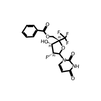 O=C(OC[C@@]1(C(F)(F)F)OC(n2ccc(=O)[nH]c2=O)[C@H](F)[C@@H]1O)c1ccccc1